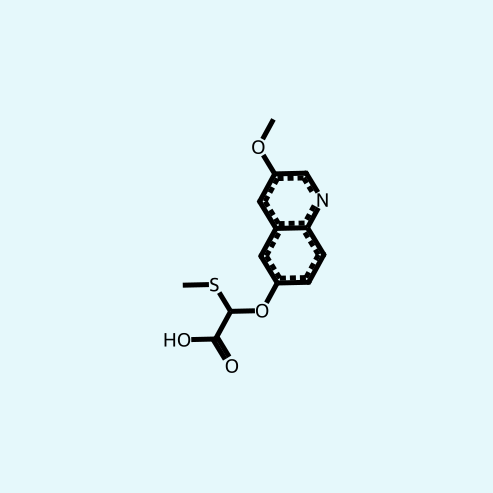 COc1cnc2ccc(OC(SC)C(=O)O)cc2c1